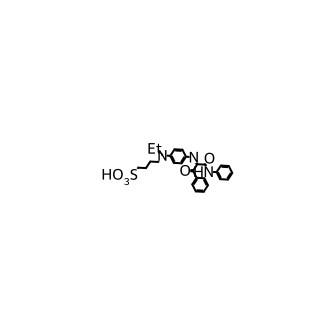 CCN(CCCCS(=O)(=O)O)c1ccc(N=C(C(=O)Nc2ccccc2)C(=O)c2ccccc2)cc1